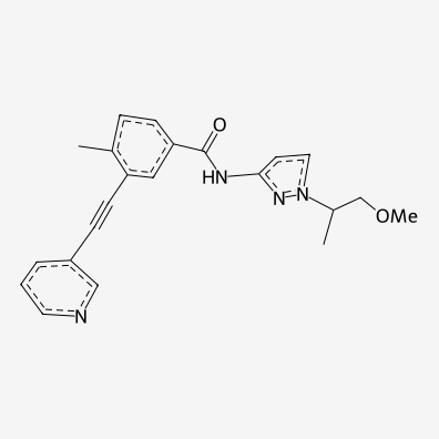 COCC(C)n1ccc(NC(=O)c2ccc(C)c(C#Cc3cccnc3)c2)n1